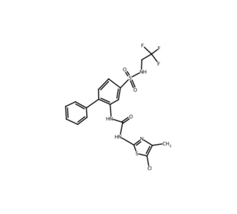 Cc1nc(NC(=O)Nc2cc(S(=O)(=O)NCC(F)(F)F)ccc2-c2ccccc2)sc1Cl